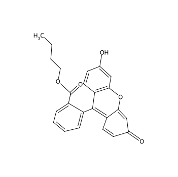 CCCCOC(=O)c1ccccc1-c1c2ccc(=O)cc-2oc2cc(O)ccc12